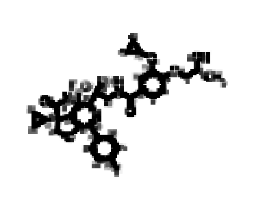 C[C@@H](O)COc1ccc(C(=O)NC[C@](O)(c2cc3c(c(-c4ccc(F)cc4)n2)OC[C@]3(C(N)=O)C2CC2)C(F)(F)F)cc1OC1CC1